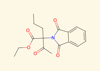 CCCC(C(C)=O)(C(=O)OCC)N1C(=O)c2ccccc2C1=O